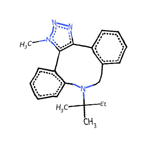 CCC(C)(C)N1Cc2ccccc2-c2nnn(C)c2-c2ccccc21